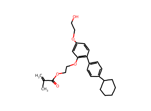 C=C(C)C(=O)OCCOc1cc(OCCO)ccc1-c1ccc(C2CCCCC2)cc1